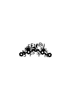 CCCCC(CC)C[Si]1(CC(CC)CCCC)c2cc(-c3c(F)cc(-c4nc5ccccc5s4)c4nsnc34)sc2-c2sc(-c3c(F)cc(-c4nc5ccccc5s4)c4nsnc34)cc21